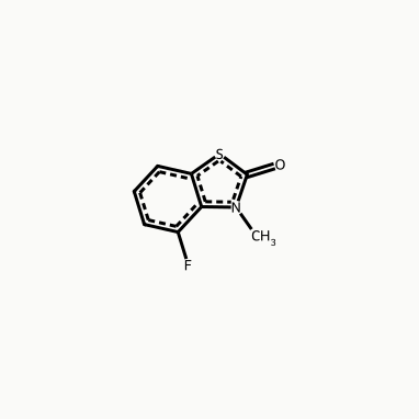 Cn1c(=O)sc2cccc(F)c21